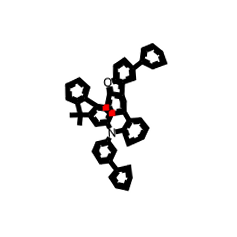 CC1(C)c2ccccc2-c2ccc(N(c3cccc(-c4ccccc4)c3)c3ccccc3-c3ccc4oc5ccc(-c6ccccc6)cc5c4c3)cc21